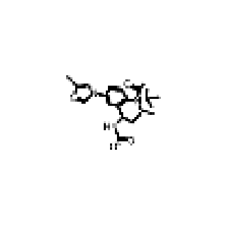 CC(=O)[N+]1(C(C)(C)C)c2ccc(-n3cnc(C)c3)cc2C(NC(=O)[O-])CC1C